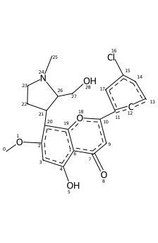 COc1cc(O)c2c(=O)cc(-c3cccc(Cl)c3)oc2c1C1CCN(C)C1CO